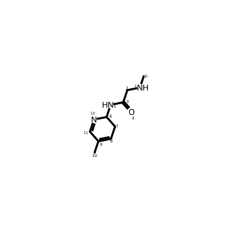 CNCC(=O)NC1CC=C(C)C=N1